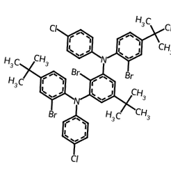 CC(C)(C)c1ccc(N(c2ccc(Cl)cc2)c2cc(C(C)(C)C)cc(N(c3ccc(Cl)cc3)c3ccc(C(C)(C)C)cc3Br)c2Br)c(Br)c1